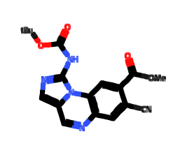 COC(=O)c1cc2c(cc1C#N)ncc1cnc(NC(=O)OC(C)(C)C)n12